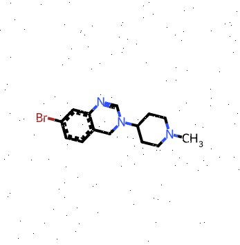 CN1CCC(N2C=Nc3cc(Br)ccc3C2)CC1